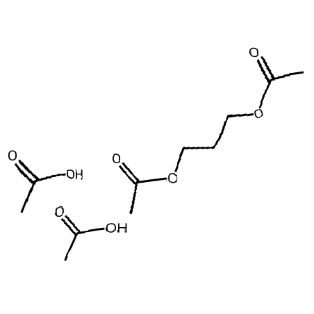 CC(=O)O.CC(=O)O.CC(=O)OCCCOC(C)=O